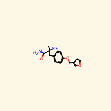 CC(N)(Cc1ccc(OCc2ccoc2)cc1)C(N)=O